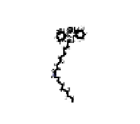 CCCCCCCC/C=C\CCCCCCCCO[Si](O)(c1ccccc1)c1ccccc1